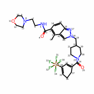 Cc1c(C(=O)NCCN2CCOCC2)ccc2nn(CC3CCN(C(=O)C4=CC(S(F)(F)(F)(F)F)=CCC4)CC3)cc12